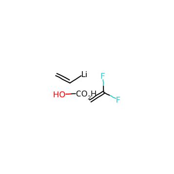 C=C(F)F.O=C(O)O.[Li][CH]=C